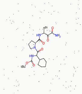 CCCC(NC(=O)[C@@H]1CCCN1C(=O)C(NC(=O)OC(C)(C)C)C1CCCCC1)C(=O)C(N)=O